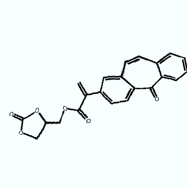 C=C(C(=O)OCC1COC(=O)O1)c1ccc2c(=O)c3ccccc3ccc2c1